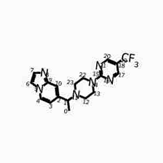 CC(c1ccn2ccnc2c1)N1CCN(c2ncc(C(F)(F)F)cn2)CC1